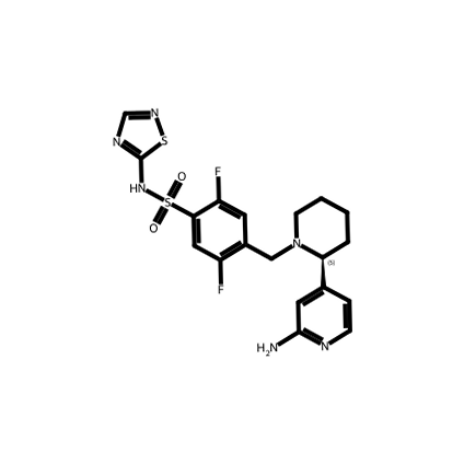 Nc1cc([C@@H]2CCCCN2Cc2cc(F)c(S(=O)(=O)Nc3ncns3)cc2F)ccn1